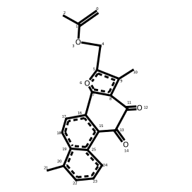 C=C(C)OCc1oc2c(c1C)C(=O)C(=O)c1c-2ccc2c(C)cccc12